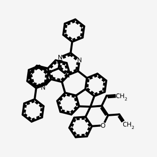 C=CC1=C(C=C)C2(c3ccccc3O1)c1cccc(-c3nc(-c4ccccc4)nc(-c4cccc(-c5ccccc5)c4)n3)c1-c1c(-c3cccc4cccnc34)cccc12